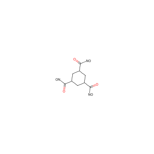 O=NC(=O)C1CC(C(=O)N=O)CC(C(=O)N=O)C1